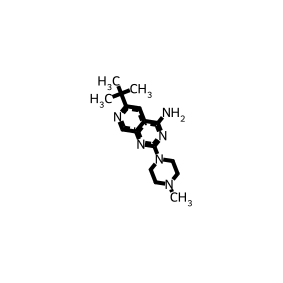 CN1CCN(c2nc(N)c3cc(C(C)(C)C)ncc3n2)CC1